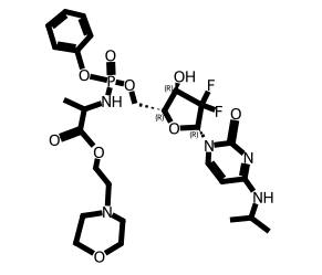 CC(C)Nc1ccn([C@@H]2O[C@H](COP(=O)(NC(C)C(=O)OCCN3CCOCC3)Oc3ccccc3)[C@@H](O)C2(F)F)c(=O)n1